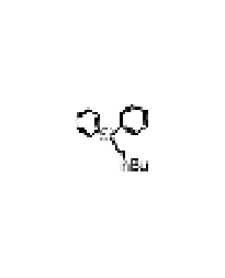 CCCCC=C[Si](c1ccccc1)c1ccccc1